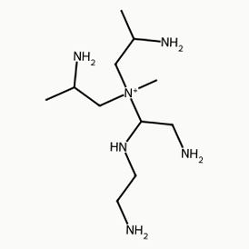 CC(N)C[N+](C)(CC(C)N)C(CN)NCCN